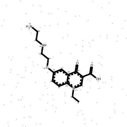 CCn1cc(C(=O)O)c(=O)c2cc(OCCNCCN)ccc21